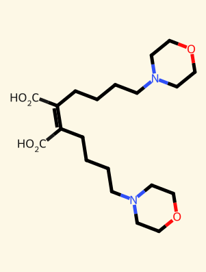 O=C(O)C(CCCCN1CCOCC1)=C(CCCCN1CCOCC1)C(=O)O